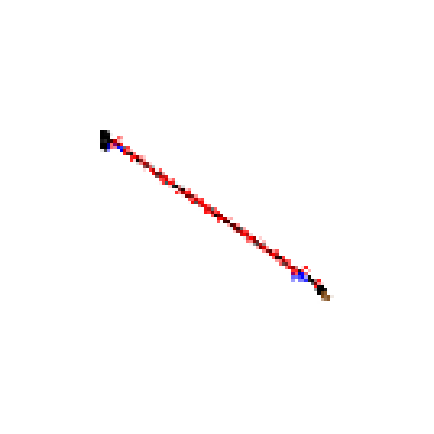 O=C(CCOCCOCCOCCOCCOCCOCCOCCOCCOCCOCCOCCOCCOCCOCCOCCOCCOCCOCCOCCOCCOCCOCCOCCOCCNC(=O)OCC1c2ccccc2-c2ccccc21)NCCCCOc1ccc(Br)cc1